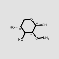 NO[C@H]1C(O)[C@H](O)CO[C@H]1O